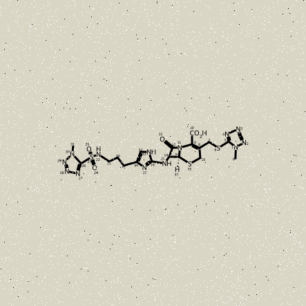 Cn1nnnc1SCC1=C(C(=O)O)N2C(=O)C(Nc3nc(CCCNS(=O)(=O)c4nnnn4C)c[nH]3)[C@@H]2SC1